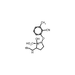 Cc1cccc(ON2CCC(NC(C)(C)C)[C@@]2(O)C(=O)O)c1C#N